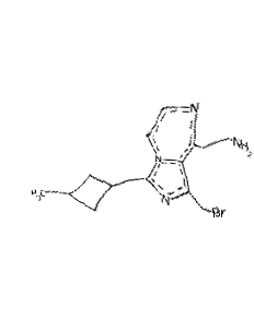 CC1CC(c2nc(Br)c3c(N)nccn23)C1